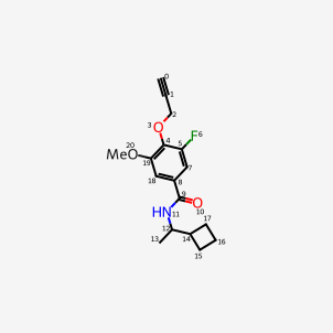 C#CCOc1c(F)cc(C(=O)NC(C)C2CCC2)cc1OC